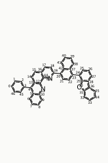 c1ccc(-c2c3ccccc3nc3c2ccc2ccc(-c4ccc(-c5cccc6c5oc5ccccc56)c5ccccc45)nc23)cc1